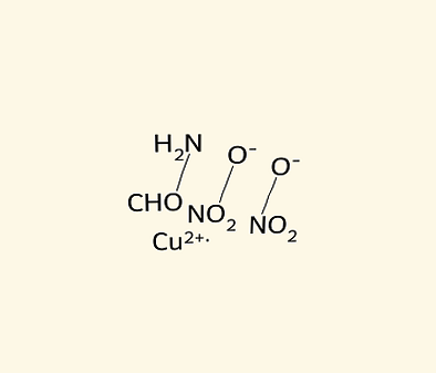 NC=O.O=[N+]([O-])[O-].O=[N+]([O-])[O-].[Cu+2]